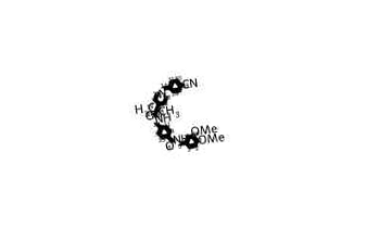 COc1ccc(CNC(=O)c2ccc(CNC(=O)C(C)(C)C3CCN(Cc4ccc(C#N)cc4)CC3)cc2)cc1OC